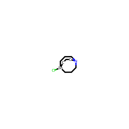 [Cl][Sn]12[CH2]CCN(CC[CH2]1)CC[CH2]2